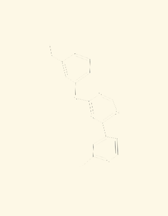 [CH2]CCc1cc(-c2ncnc(Nc3cccc(CO)c3)n2)ccn1